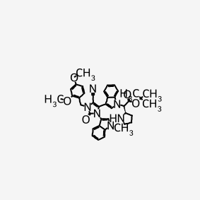 COc1ccc(Cn2c(C#N)c(-c3cn(C(C(=O)OC(C)(C)C)[C@H]4CCCN4)c4ccccc34)n(-c3cn(C)c4ccccc34)c2=O)c(OC)c1